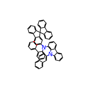 c1ccc(-c2ccccc2N(c2ccc3c(c2)C2(c4ccccc4-c4ccccc42)c2ccccc2-3)c2cccc3c4ccccc4n(-c4ccc5ccccc5c4)c23)cc1